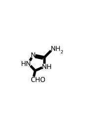 NC1=NNC(C=O)N1